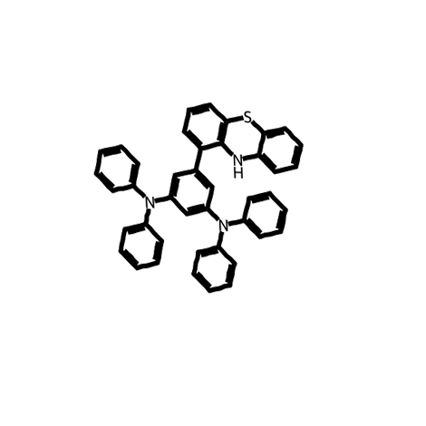 c1ccc(N(c2ccccc2)c2cc(-c3cccc4c3Nc3ccccc3S4)cc(N(c3ccccc3)c3ccccc3)c2)cc1